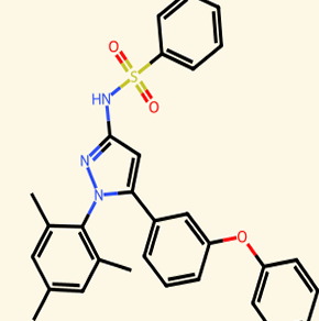 Cc1cc(C)c(-n2nc(NS(=O)(=O)c3ccccc3)cc2-c2cccc(Oc3ccccc3)c2)c(C)c1